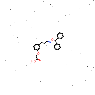 O=C(O)COc1cccc(CCC=NOC(c2ccccc2)c2ccccc2)c1